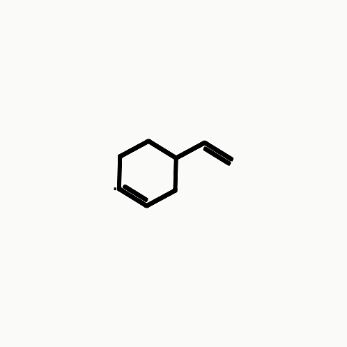 C=CC1CC=[C]CC1